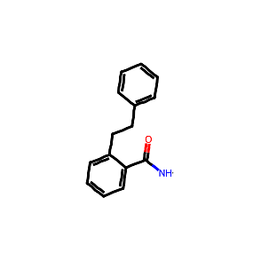 [NH]C(=O)c1ccccc1CCc1ccccc1